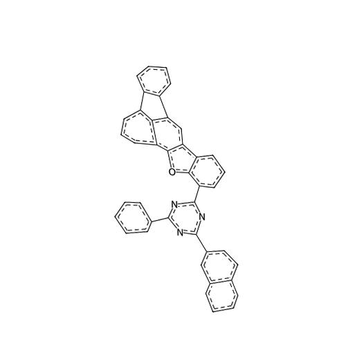 c1ccc(-c2nc(-c3ccc4ccccc4c3)nc(-c3cccc4c3oc3c5cccc6c5c(cc43)-c3ccccc3-6)n2)cc1